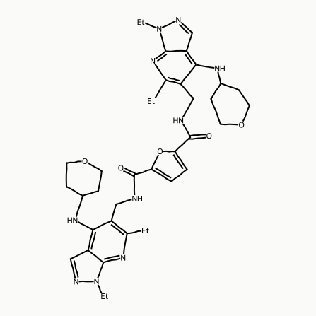 CCc1nc2c(cnn2CC)c(NC2CCOCC2)c1CNC(=O)c1ccc(C(=O)NCc2c(CC)nc3c(cnn3CC)c2NC2CCOCC2)o1